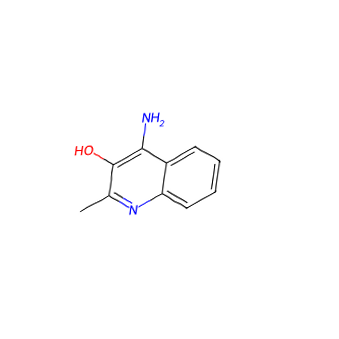 Cc1nc2ccccc2c(N)c1O